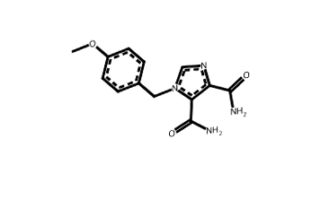 COc1ccc(Cn2cnc(C(N)=O)c2C(N)=O)cc1